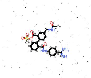 CC(C)C(=O)NCc1ccc(-c2ccccc2C(=O)Nc2ccc(C(=N)N)cc2)c(C(=O)OS(C)(=O)=O)c1